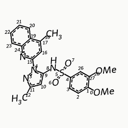 COc1ccc(S(=O)(=O)Nc2cc(C)nn2-c2cc(C)c3ccccc3n2)cc1OC